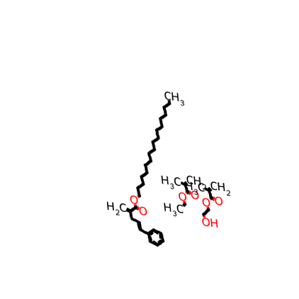 C=C(C)C(=O)OCC.C=C(C)C(=O)OCCO.C=C(CC=Cc1ccccc1)C(=O)OCCCCCCCCCCCCCCCCCC